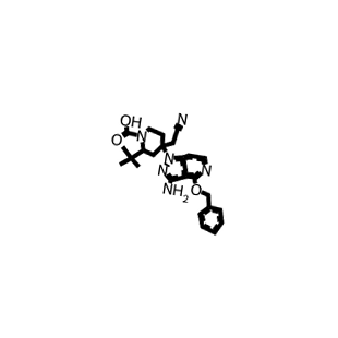 CC(C)(C)C1CC(CC#N)(n2nc(N)c3c(OCc4ccccc4)nccc32)CCN1C(=O)O